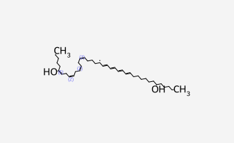 CCCCC/C(O)=C\C/C=C\C/C=C\C/C=C\CCC[CH]C=CC=CC=CC=CCCCCCCC(O)CCCCC